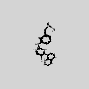 CS(=N)Cc1cccc(Nc2ncc(F)c(-c3cccc4c3OCCC4)n2)c1